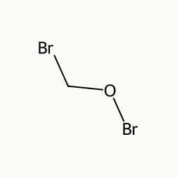 BrCOBr